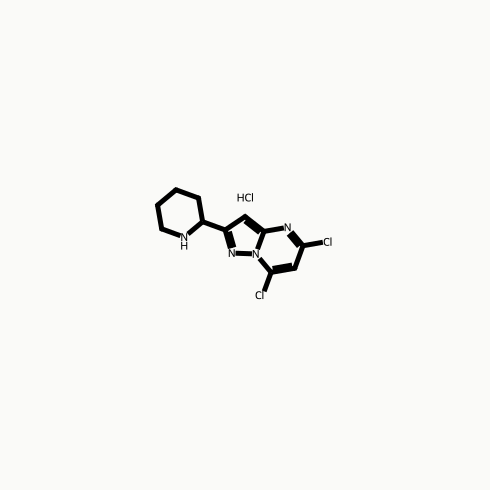 Cl.Clc1cc(Cl)n2nc(C3CCCCN3)cc2n1